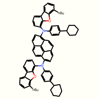 CCCCc1cccc2c1oc1c(N(c3ccc(C4CCCCC4)cc3)c3ccc4ccc5c(N(c6ccc(C7CCCCC7)cc6)c6cccc7c6oc6c(CCCC)cccc67)ccc6ccc3c4c65)cccc12